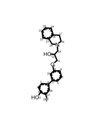 Oc1ccc(-c2cccc(OCC(O)CN3CCc4ccccc4C3)c2)cc1F